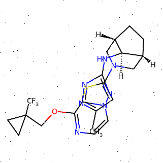 Cc1cc(N2C[C@H]3CC[C@@H](C2)[C@@H]3Nc2nc3c(OCC4(C(F)(F)F)CC4)nccn3n2)sn1